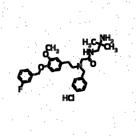 COc1cc(CCN(CC(=O)NCC(C)(C)N)Cc2ccccc2)ccc1OCc1cccc(F)c1.Cl